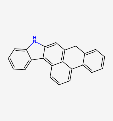 c1ccc2c(c1)Cc1cc3[nH]c4ccccc4c3c3cccc-2c13